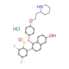 Cl.[O-][S+]1c2c(F)cc(F)cc2-c2ccc3cc(O)ccc3c2C1c1ccc(OCCC2CCCCN2)cc1